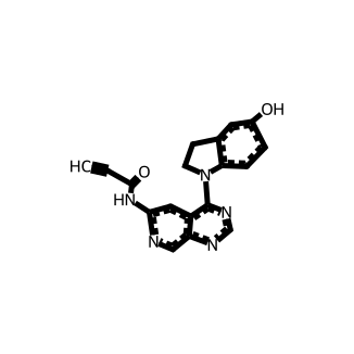 C#CC(=O)Nc1cc2c(N3CCc4cc(O)ccc43)ncnc2cn1